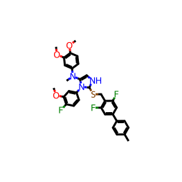 COc1cc(N2C(N(C)c3ccc(OC)c(OC)c3)=CNC2SCc2c(F)cc(-c3ccc(C)cc3)cc2F)ccc1F